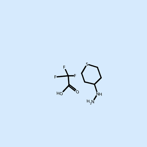 NNC1CCSCC1.O=C(O)C(F)(F)F